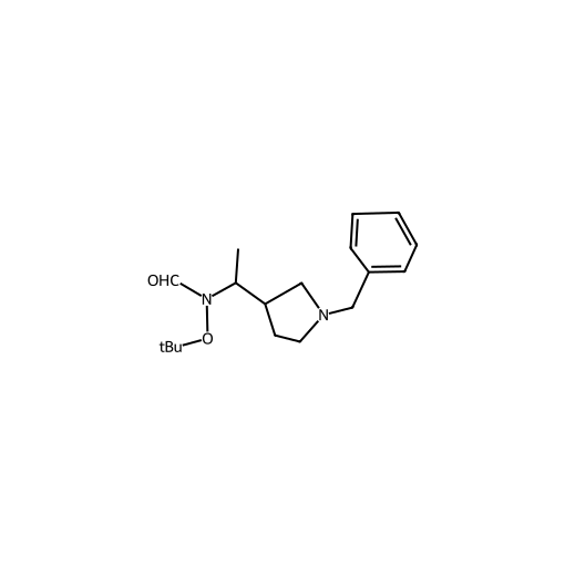 CC(C1CCN(Cc2ccccc2)C1)N(C=O)OC(C)(C)C